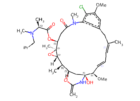 C=C1N[C@]2(O)C[C@H](O1)[C@@H](C)[C@@H]1O[C@@]1(C)[C@@H](OC(=O)[C@H](C)N(C)CC(C)C)CC(=O)N(C)c1cc(cc(OC)c1Cl)C/C(C)=C/C=C/[C@H]2OC